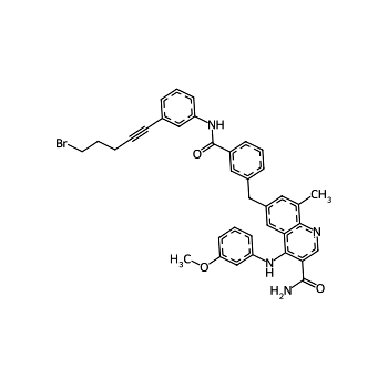 COc1cccc(Nc2c(C(N)=O)cnc3c(C)cc(Cc4cccc(C(=O)Nc5cccc(C#CCCCBr)c5)c4)cc23)c1